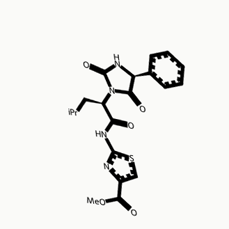 COC(=O)c1csc(NC(=O)[C@@H](CC(C)C)N2C(=O)N[C@@H](c3ccccc3)C2=O)n1